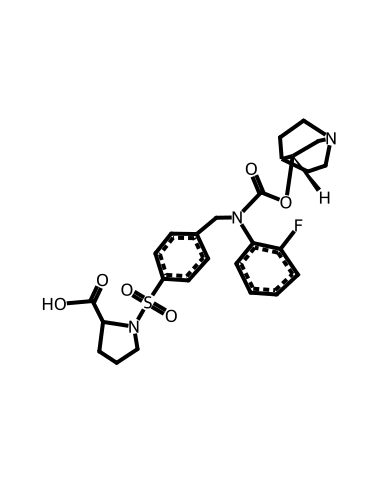 O=C(O)C1CCCN1S(=O)(=O)c1ccc(CN(C(=O)O[C@H]2CN3CCC2CC3)c2ccccc2F)cc1